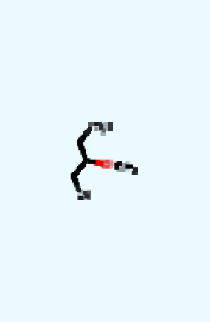 N#CCC(O)CC(=O)O.[CaH2]